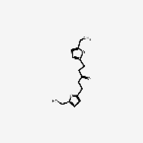 CCc1ccc(CCC(=O)CCc2ccc(CO)o2)o1